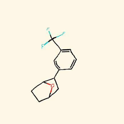 FC(F)(F)c1cccc(C2CC3CCC2O3)c1